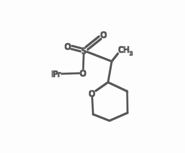 CC(C)OS(=O)(=O)C(C)C1CCCCO1